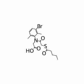 CCCCC(=O)SCC(=O)N(CC(=O)O)c1c(C)ccc(Br)c1C